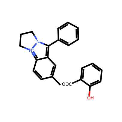 Cc1ccc2c(c1)c(-c1ccccc1)n1[n+]2CCC1.O=C([O-])c1ccccc1O